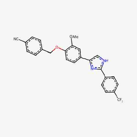 COc1cc(-c2c[nH]c(-c3ccc(C(F)(F)F)cc3)n2)ccc1OCc1ccc(C#N)cc1